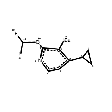 CCC(C)c1c(C2CC2)ccnc1OC(F)F